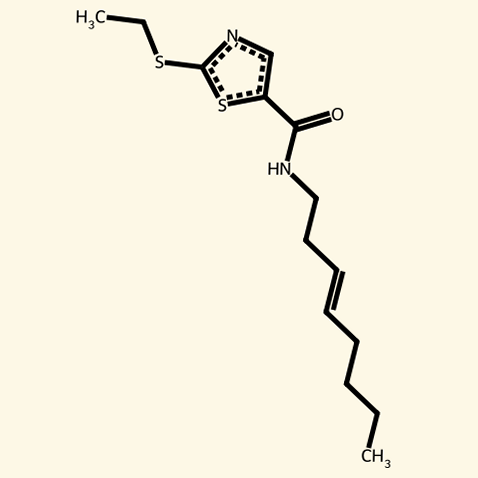 CCCC/C=C/CCNC(=O)c1cnc(SCC)s1